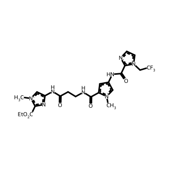 CCOC(=O)c1nc(NC(=O)CCNC(=O)c2cc(NC(=O)c3nccn3CC(F)(F)F)cn2C)cn1C